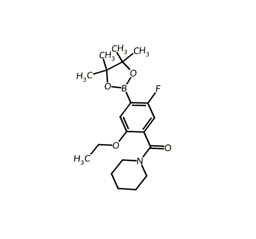 CCOc1cc(B2OC(C)(C)C(C)(C)O2)c(F)cc1C(=O)N1CCCCC1